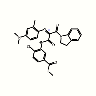 COC(=O)c1ccc(Cl)c(NC(=O)/C(=N\c2ccc(N(C)C)cc2C)C(=O)N2CCc3ccccc32)c1